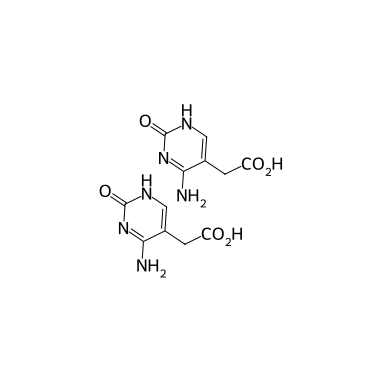 Nc1nc(=O)[nH]cc1CC(=O)O.Nc1nc(=O)[nH]cc1CC(=O)O